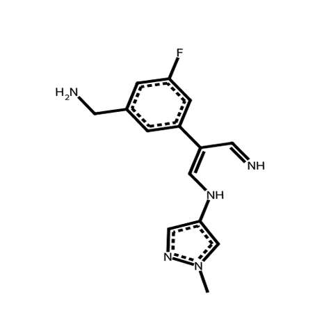 Cn1cc(N/C=C(\C=N)c2cc(F)cc(CN)c2)cn1